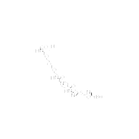 CC(C)(C)c1cnc(CSc2cnc(NC(=O)C3CCN(CC(=O)NCCOCCOCCOCCNC(=O)O)CC3)s2)o1